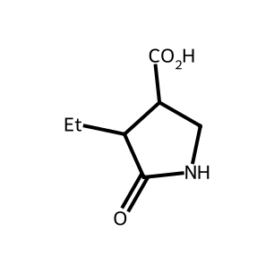 CCC1C(=O)NCC1C(=O)O